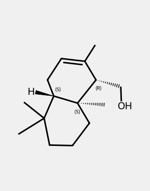 CC1=CC[C@H]2C(C)(C)CCC[C@]2(C)[C@H]1CO